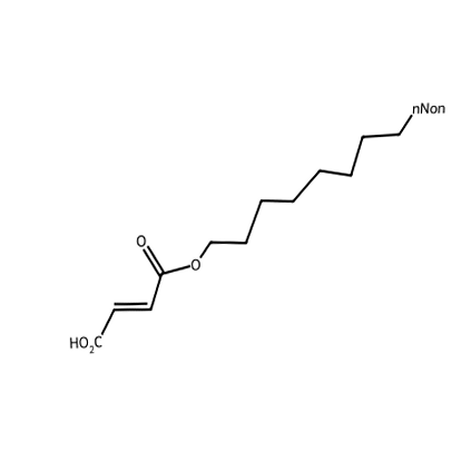 CCCCCCCCCCCCCCCCCOC(=O)/C=C/C(=O)O